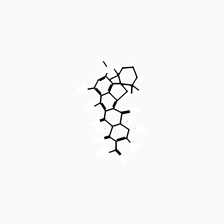 COc1cc(O)c2c(O)c3c(c4c2c1C1(C4)C(C)(C)CCCC1(C)C)C(=O)[C@H]1[C@H](N)C(O)=C(C(N)=O)C(=O)[C@@]1(O)C3=O